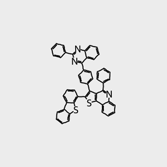 c1ccc(-c2nc(-c3ccc(-c4c(-c5cccc6c5sc5ccccc56)sc5c4c(-c4ccccc4)nc4ccccc45)cc3)c3ccccc3n2)cc1